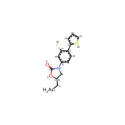 O=C1O[C@H](C[AsH2])CN1c1ccc(-c2cccs2)c(F)c1